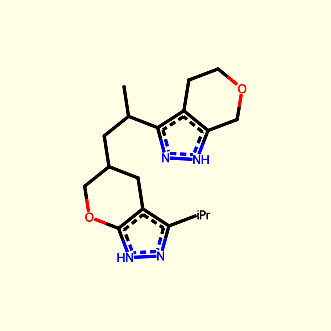 CC(C)c1n[nH]c2c1CC(CC(C)c1n[nH]c3c1CCOC3)CO2